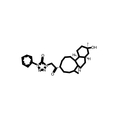 CC1CC[C@H](C(=O)Cn2nnn(-c3ccccc3)c2=O)CCCC2[C@H]1CC[C@@H]1C[C@](C)(O)CC[C@H]21